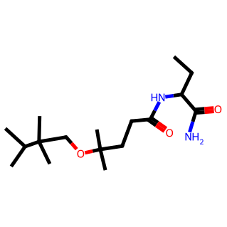 CCC(NC(=O)CCC(C)(C)OCC(C)(C)C(C)C)C(N)=O